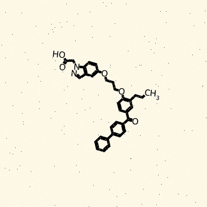 CCCc1cc(C(=O)c2ccc(-c3ccccc3)cc2)ccc1OCCCOc1ccc2c(cnn2CC(=O)O)c1